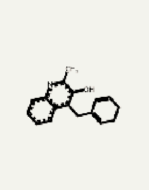 Cc1nc2ccccc2c(CC2=CC[CH]C=C2)c1O